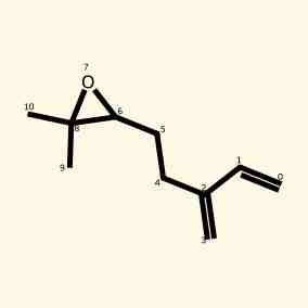 C=CC(=C)CCC1OC1(C)C